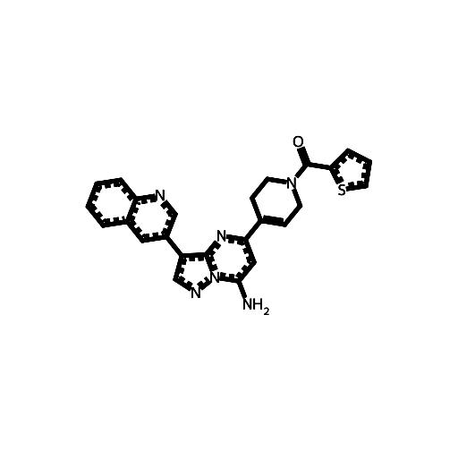 Nc1cc(C2=CCN(C(=O)c3cccs3)CC2)nc2c(-c3cnc4ccccc4c3)cnn12